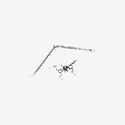 CCCC=Cc1cc(C=CCCC)cc(C2=C(CCCCC)C=C(c3cc(C=CCCCC)cc(C=CCCCC)c3)[N+]2=[N-])c1.CCCCCCCCCCCCCCCCCCCCCCCCCCCCC[CH2][Ni][CH2]CCCCCCCCCCCCCCCCCCCCCCCCCCCCC